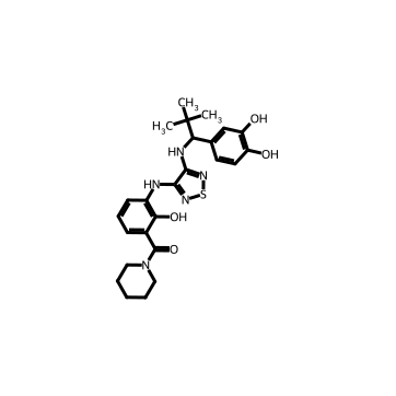 CC(C)(C)C(Nc1nsnc1Nc1cccc(C(=O)N2CCCCC2)c1O)c1ccc(O)c(O)c1